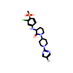 CCc1cnc(N2CCC(N3CCCC(Nc4ccc(S(C)(=O)=O)c(F)c4)C3=O)CC2)nc1